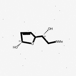 CNC[C@@H](O)C1C=C[C@@H](O)O1